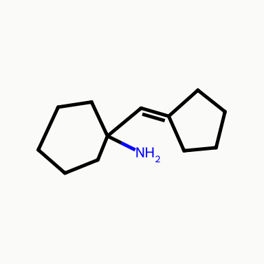 NC1(C=C2CCCC2)CCCCC1